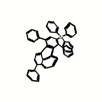 c1ccc(-c2cc([Si](c3ccccc3)(c3ccccc3)c3ccccc3)c(-c3ccccc3)c3c2-c2ccc(-c4ccccc4)c4cccc-3c24)cc1